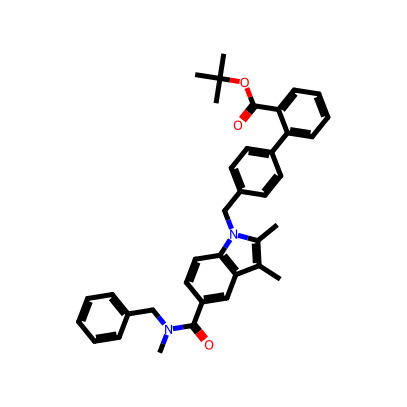 Cc1c(C)n(Cc2ccc(-c3ccccc3C(=O)OC(C)(C)C)cc2)c2ccc(C(=O)N(C)Cc3ccccc3)cc12